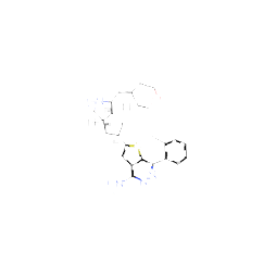 Cc1ccccc1-c1nnc(N)c2cc([C@H]3C[C@H]4CNC(CC5CCOCC5)[C@H]4C3)sc12